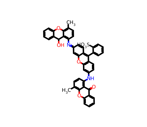 Cc1ccc(/N=c2\ccc3c(-c4ccccc4S(=O)(=O)O)c4ccc(Nc5ccc(C)c6oc7ccccc7c(=O)c56)cc4oc-3c2)c2c1Oc1ccccc1C2O